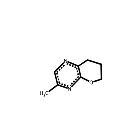 Cc1[c]nc2c(n1)OCCC2